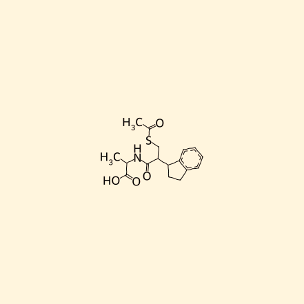 CC(=O)SCC(C(=O)NC(C)C(=O)O)C1CCc2ccccc21